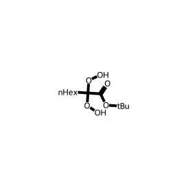 CCCCCCC(OO)(OO)C(=O)OC(C)(C)C